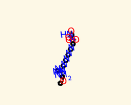 Nc1ncnc2c1c(-c1ccc(Oc3ccccc3)cc1)nn2C1CCN(C2CCN(C3CCN(C4CCN(c5ccc6c(c5)C(=O)N(C5CCC(=O)NC5=O)C6=O)CC4)CC3)CC2)CC1